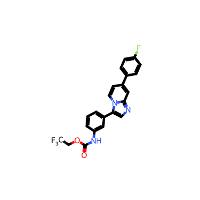 O=C(Nc1cccc(-c2cnc3cc(-c4ccc(F)cc4)ccn23)c1)OCC(F)(F)F